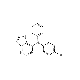 Oc1ccc(N(c2ccccc2)c2ncnc3ccsc23)cc1